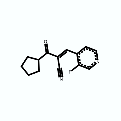 N#CC(=Cc1ccncc1F)C(=O)C1CCCC1